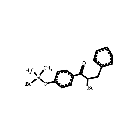 CC(C)(C)[C](Cc1ccccc1)C(=O)c1ccc(O[Si](C)(C)C(C)(C)C)cc1